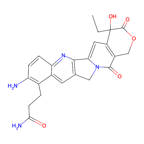 CCC1(O)C(=O)OCc2c1cc1n(c2=O)Cc2cc3c(CCC(N)=O)c(N)ccc3nc2-1